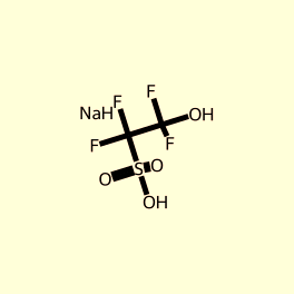 O=S(=O)(O)C(F)(F)C(O)(F)F.[NaH]